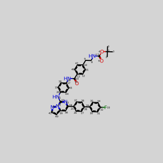 CC(C)(C)OC(=O)NCCc1ccc(C(=O)Nc2ccc(Nc3nc(-c4ccc(-c5ccc(F)cc5)cc4)cc4ccnn34)cc2)cc1